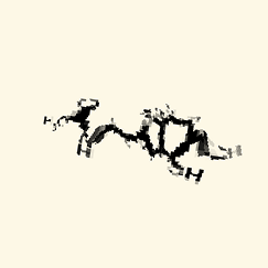 CC(=O)NCCc1cc2c(O)c(O)ccc2s1